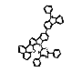 c1ccc(-c2nc(-c3ccccc3)nc(-n3c4ccc(-c5ccc6c(c5)c5ccccc5n6-c5ccccc5)cc4c4ccc5c(c43)Oc3cccc4cccc-5c34)n2)cc1